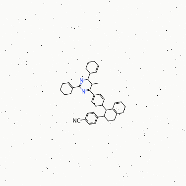 CC1C(C2=CCC(C3C4=C(CCC=C4)CCC3c3ccc(C#N)cc3)C=C2)=NC(C2=CCCCC2)=NC1C1C=CCCC1